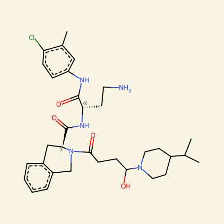 Cc1cc(NC(=O)[C@H](CCN)NC(=O)[C@@H]2Cc3ccccc3CN2C(=O)CCC(O)N2CCC(C(C)C)CC2)ccc1Cl